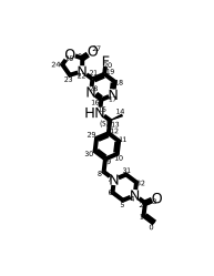 C=CC(=O)N1CCN(Cc2ccc([C@H](C)Nc3ncc(F)c(N4CCOC4=O)n3)cc2)CC1